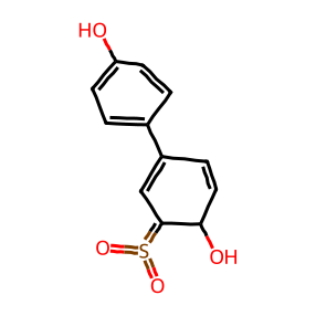 O=S(=O)=C1C=C(c2ccc(O)cc2)C=CC1O